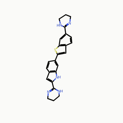 c1cc2cc(-c3ccc4cc(C5=NCCCN5)[nH]c4c3)sc2cc1C1=NCCCN1